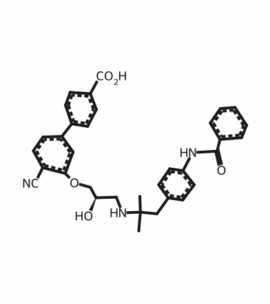 CC(C)(Cc1ccc(NC(=O)c2ccccc2)cc1)NC[C@@H](O)COc1cc(-c2ccc(C(=O)O)cc2)ccc1C#N